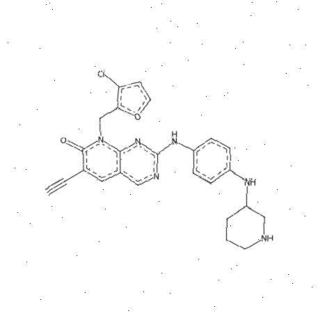 C#Cc1cc2cnc(Nc3ccc(NC4CCCNC4)cc3)nc2n(Cc2occc2Cl)c1=O